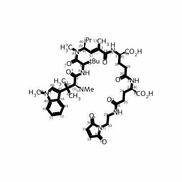 CN[C@H](C(=O)NC(C(=O)N(C)[C@H](/C=C(\C)C(=O)N[C@H](CCC(=O)N[C@H](CCC(=O)NCCN1C(=O)C=CC1=O)C(=O)O)C(=O)O)C(C)C)C(C)(C)C)C(C)(C)c1cn(C)c2ccccc12